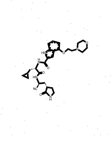 N#C[C@H](C[C@@H]1CCNC1=O)NC(=O)[C@H](CC1CC1)NC(=O)c1cc2c(OCCN3CCOCC3)cccc2[nH]1